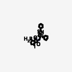 O=C1/C(=C\c2cc3sc(-c4ccccc4)nc3n2-c2ccccc2)C(=O)c2c(I)ccc(P)c21